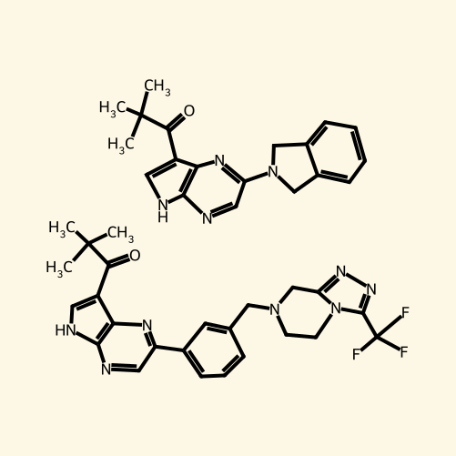 CC(C)(C)C(=O)c1c[nH]c2ncc(-c3cccc(CN4CCn5c(nnc5C(F)(F)F)C4)c3)nc12.CC(C)(C)C(=O)c1c[nH]c2ncc(N3Cc4ccccc4C3)nc12